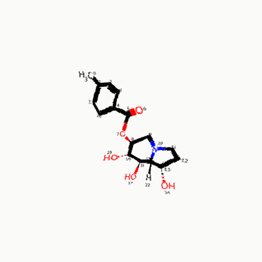 Cc1ccc(C(=O)O[C@H]2CN3CC[C@H](O)[C@@H]3[C@@H](O)[C@@H]2O)cc1